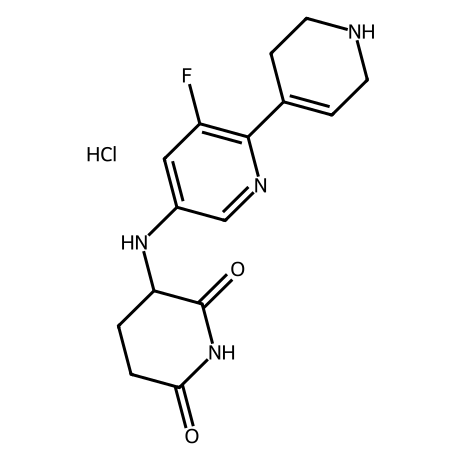 Cl.O=C1CCC(Nc2cnc(C3=CCNCC3)c(F)c2)C(=O)N1